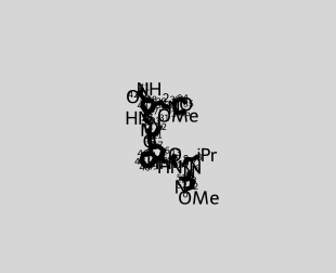 COc1ccc(-n2nc(C(C)C)cc2NC(=O)Nc2ccc(Oc3ccnc(Nc4cc(CC(OC)N5CCOCC5)cc(C(N)=O)c4)n3)c3ccccc23)cn1